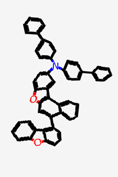 c1ccc(-c2ccc(N(c3ccc(-c4ccccc4)cc3)c3ccc4oc5cc(-c6cccc7oc8ccccc8c67)c6ccccc6c5c4c3)cc2)cc1